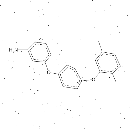 Cc1ccc(C)c(Oc2ccc(Oc3cccc(N)c3)cc2)c1